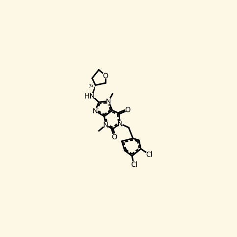 Cn1c(N[C@H]2CCOC2)nc2c1c(=O)n(Cc1ccc(Cl)c(Cl)c1)c(=O)n2C